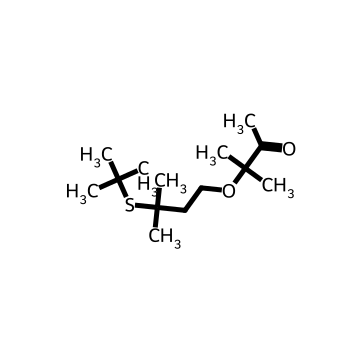 CC(=O)C(C)(C)OCCC(C)(C)SC(C)(C)C